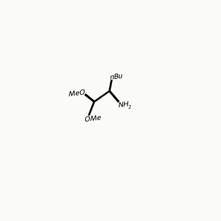 CCCCC(N)C(OC)OC